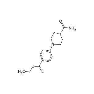 CCOC(=O)c1ccc(N2CCC(C(N)=O)CC2)cc1